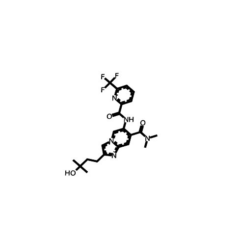 CN(C)C(=O)c1cc2nc(CCC(C)(C)O)cn2cc1NC(=O)c1cccc(C(F)(F)F)n1